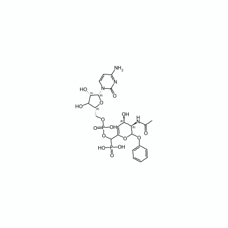 CC(=O)N[C@H]1C(Oc2ccccc2)OC(C(OP(=O)(O)OC[C@H]2O[C@@H](n3ccc(N)nc3=O)[C@@H](O)C2O)P(=O)(O)O)=C[C@H]1O